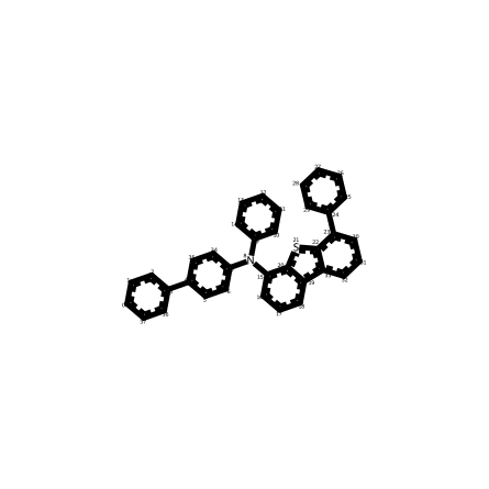 c1ccc(-c2ccc(N(c3ccccc3)c3cccc4c3sc3c(-c5ccccc5)cccc34)cc2)cc1